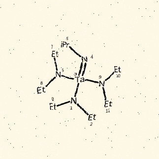 CC[N](CC)[Ta](=[N]C(C)C)([N](CC)CC)[N](CC)CC